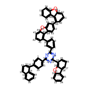 c1cc(-c2nc(-c3ccc(-c4cccc5ccccc45)cc3)nc(-c3cccc4c3oc3ccccc34)n2)cc(-c2cccc3oc4cc(-c5cccc6oc7ccccc7c56)ccc4c23)c1